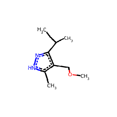 COCc1c(C(C)C)n[nH]c1C